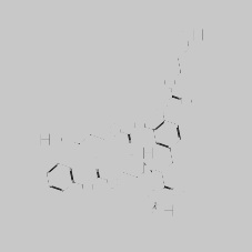 CCCCOC(=O)Oc1ccc(C[C@H](NCCOC(=O)Oc2ccccc2)C(=O)OC)cc1OC(=O)OCCCC